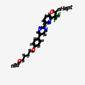 CCCCCCCC1Oc2ccc(-c3ncc(-c4ccc(OCCCCOCCCC)cc4)cn3)nc2C1(F)F